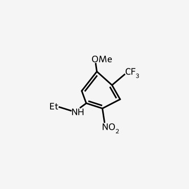 CCNc1cc(OC)c(C(F)(F)F)cc1[N+](=O)[O-]